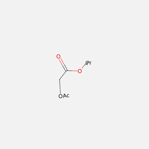 [CH2]C(=O)OCC(=O)OC(C)C